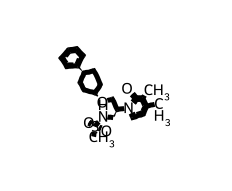 Cc1ccn([C@H](CNS(C)(=O)=O)CO[C@H]2CC[C@@H](c3ccccc3)CC2)c(=O)c1C